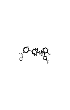 CN(C=O)c1ccnc(-c2cnc(NCC3(c4ncccc4F)CC(F)C3)nc2)c1